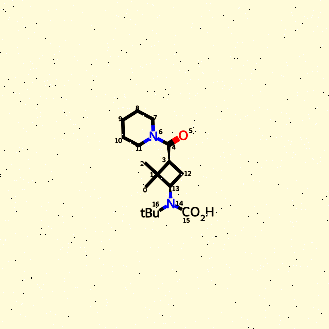 CC1(C)[C@@H](C(=O)N2CCCCC2)C[C@H]1N(C(=O)O)C(C)(C)C